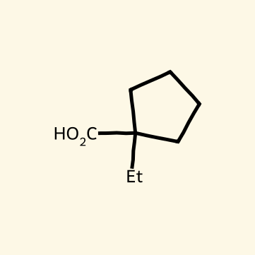 CCC1(C(=O)O)CCCC1